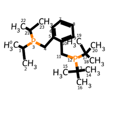 CC(C)P(Cc1ccccc1CP(C(C)(C)C)C(C)(C)C)C(C)C